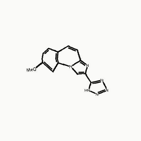 COc1ccc2ccc3nc(-c4nnn[nH]4)cn3c2c1